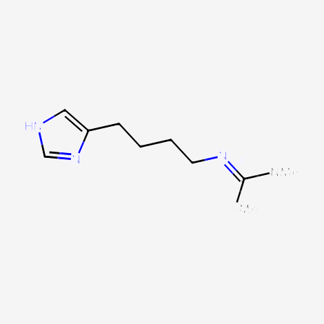 CN/C(=N/CCCCc1c[nH]cn1)SC